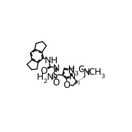 CN(C)C[C@@H]1COc2c([S@@](N)(=O)=NC(=O)Nc3c4c(cc5c3CCC5)CCC4)cnn21